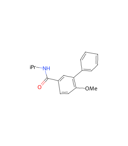 COc1ccc(C(=O)NC(C)C)cc1-c1ccccc1